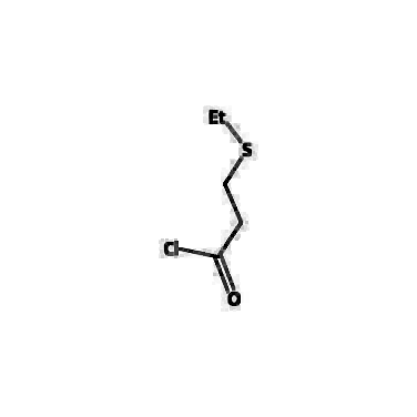 CCSCCC(=O)Cl